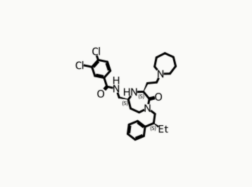 CC[C@H](CN1CC[C@@H](CNC(=O)c2ccc(Cl)c(Cl)c2)N[C@@H](CCN2CCCCCC2)C1=O)c1ccccc1